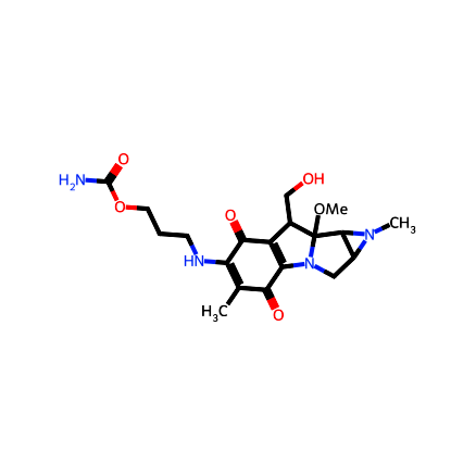 COC12C(CO)C3=C(C(=O)C(C)=C(NCCCOC(N)=O)C3=O)N1CC1C2N1C